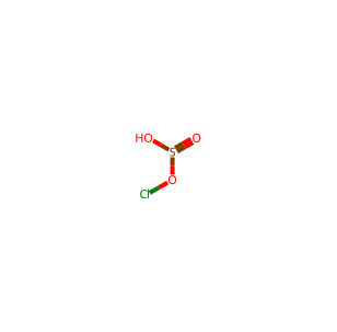 O=S(O)OCl